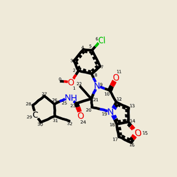 COc1ccc(Cl)cc1N1C(=O)c2cc3occc3n2CC1(C)C(=O)NC1CCCCC1C